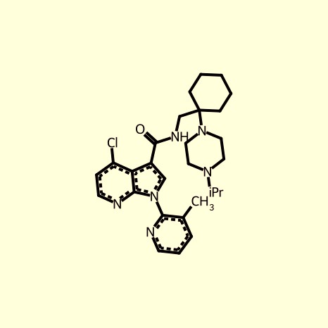 Cc1cccnc1-n1cc(C(=O)NCC2(N3CCN(C(C)C)CC3)CCCCC2)c2c(Cl)ccnc21